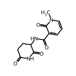 Cn1cccc(C(=O)NC2CCC(=O)NC2=O)c1=O